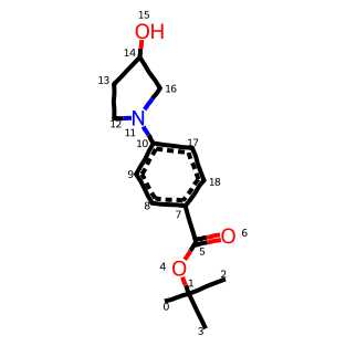 CC(C)(C)OC(=O)c1ccc(N2CCC(O)C2)cc1